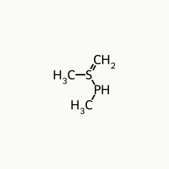 C=S(C)PC